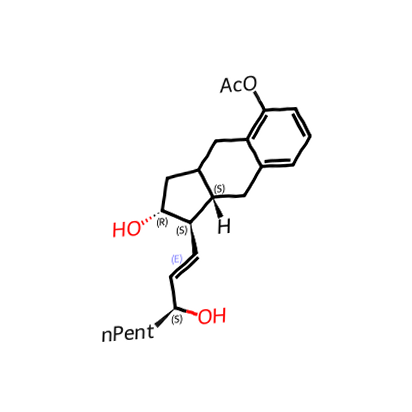 CCCCC[C@H](O)/C=C/[C@H]1[C@H](O)CC2Cc3c(cccc3OC(C)=O)C[C@@H]21